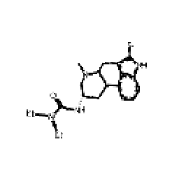 CCN(CC)C(=O)N[C@H]1CC2c3cccc4[nH]c(Cl)c(c34)CC2N(C)C1